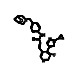 O=C(C=Cc1cncc(F)c1-c1cnn(C2CC2)c1)Nc1ccc(CN2CC3CC(C2)O3)cc1